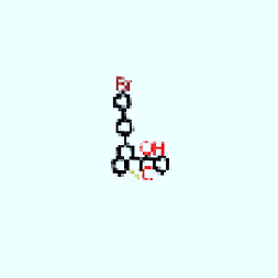 Oc1c(C2CC(c3ccc(-c4ccc(Br)cc4)cc3)Cc3ccccc32)c(=S)oc2ccccc12